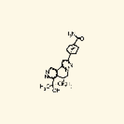 C[C@@H]1Cn2nc(C34CCC(C(N)=O)(CC3)CC4)cc2-c2cnnc([C@](C)(O)C(F)(F)F)c21